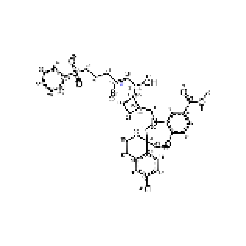 COC(=O)c1ccc2c(c1)N(C[C@H]1CC[C@H]1[C@H](O)/C=C(\Br)CCCS(=O)(=O)c1ncccn1)CC1(CCCc3cc(Cl)ccc31)CO2